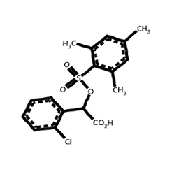 Cc1cc(C)c(S(=O)(=O)OC(C(=O)O)c2ccccc2Cl)c(C)c1